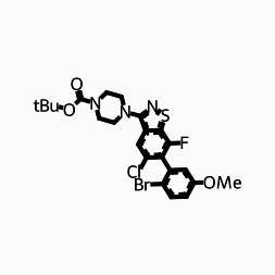 COc1ccc(Br)c(-c2c(Cl)cc3c(N4CCN(C(=O)OC(C)(C)C)CC4)nsc3c2F)c1